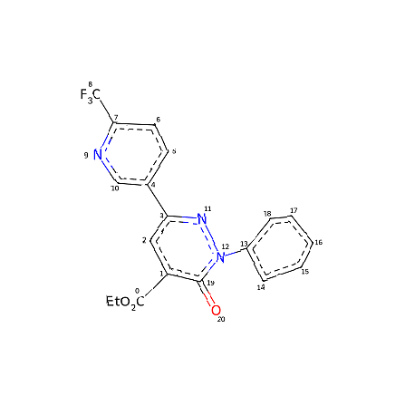 CCOC(=O)c1cc(-c2ccc(C(F)(F)F)nc2)nn(-c2ccccc2)c1=O